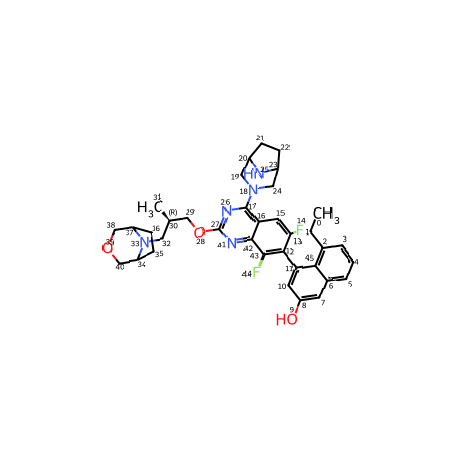 CCc1cccc2cc(O)cc(-c3c(F)cc4c(N5CC6CCC(C5)N6)nc(OC[C@H](C)CN5C6CCC5COC6)nc4c3F)c12